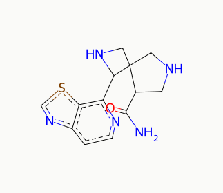 NC(=O)C1CNCC12CNC2c1nccc2ncsc12